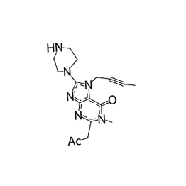 CC#CCn1c(N2CCNCC2)nc2nc(CC(C)=O)n(C)c(=O)c21